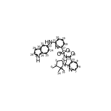 CC1CCN(c2ncccc2C(=O)NS(=O)(=O)c2cccc(Nc3ccc4[nH]ccc4c3)n2)C1(C)C